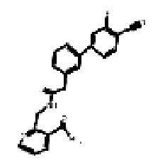 N#Cc1ccc(-c2cccc([CH]C(=O)NCc3ncccc3C(N)=O)c2)cc1F